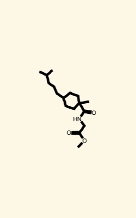 COC(=O)CNC(=O)C1(C)CCC(CCCC(C)C)CC1